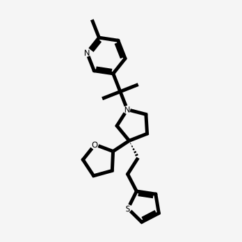 Cc1ccc(C(C)(C)N2CC[C@@](CCc3cccs3)(C3CCCO3)C2)cn1